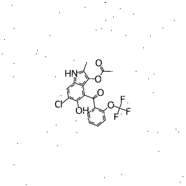 CC(=O)Oc1c(C)[nH]c2cc(Cl)c(O)c(C(=O)c3ccccc3OC(F)(F)F)c12